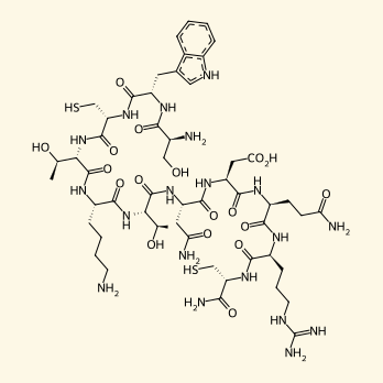 C[C@@H](O)[C@H](NC(=O)[C@H](CCCCN)NC(=O)[C@@H](NC(=O)[C@H](CS)NC(=O)[C@H](Cc1c[nH]c2ccccc12)NC(=O)[C@@H](N)CO)[C@@H](C)O)C(=O)N[C@@H](CC(N)=O)C(=O)N[C@@H](CC(=O)O)C(=O)N[C@@H](CCC(N)=O)C(=O)N[C@@H](CCCNC(=N)N)C(=O)N[C@@H](CS)C(N)=O